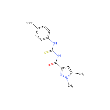 CCCCCCCCc1ccc(NC(=S)NC(=O)c2cc(C)n(C)n2)cc1